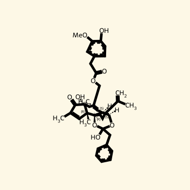 C=C(C)C1C[C@@H](C)[C@@]23OC(O)(Cc4ccccc4)O[C@@H]1[C@@H]2C=C(COC(=O)Cc1ccc(O)c(OC)c1)C[C@]1(O)C(=O)C(C)=C[C@@]31C